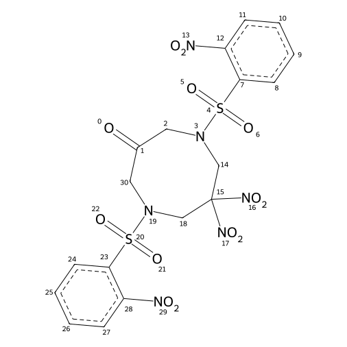 O=C1CN(S(=O)(=O)c2ccccc2[N+](=O)[O-])CC([N+](=O)[O-])([N+](=O)[O-])CN(S(=O)(=O)c2ccccc2[N+](=O)[O-])C1